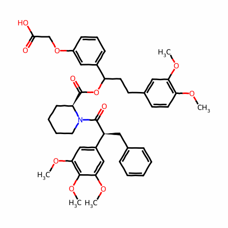 COc1ccc(CCC(OC(=O)[C@@H]2CCCCN2C(=O)[C@@H](Cc2ccccc2)c2cc(OC)c(OC)c(OC)c2)c2cccc(OCC(=O)O)c2)cc1OC